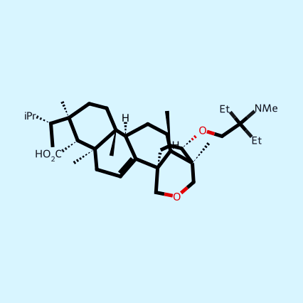 CCC(CC)(CO[C@H]1[C@H](C)C[C@@]23COC[C@@]1(C)[C@@H]2CC[C@H]1C3=CC[C@@]2(C)[C@H](C(=O)O)[C@@](C)([C@H](C)C(C)C)CC[C@]12C)NC